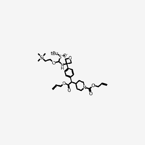 C=CCOC(=O)C(c1ccc(C2(NC(OCC[Si](C)(C)C)[S+]([O-])C(C)(C)C)COC2)cc1)C1CCN(C(=O)OCC=C)CC1